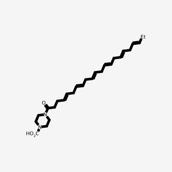 CCC=CCC=CCC=CCC=CCC=CCC=CCCC(=O)N1CCN(C(=O)O)CC1